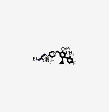 CC/C=C(\C=C/N(O)C1CCN(Cc2cc(C3CC3)c(C3CC=C(F)C=C3F)c(C)c2OC(C)C)CC1)C(=O)O